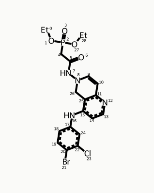 CCOP(=O)(CC(=O)NN1C=Cc2nccc(Nc3ccc(Br)c(Cl)c3)c2C1)OCC